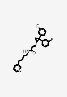 O=C(/C=C/[C@@H]1CC1(c1cccc(F)c1)c1cccc(F)c1)NCCCCc1cccnc1